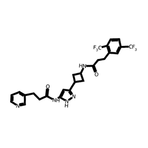 O=C(CCc1cccnc1)Nc1cc(C2CC(NC(=O)CCc3cc(C(F)(F)F)ccc3C(F)(F)F)C2)n[nH]1